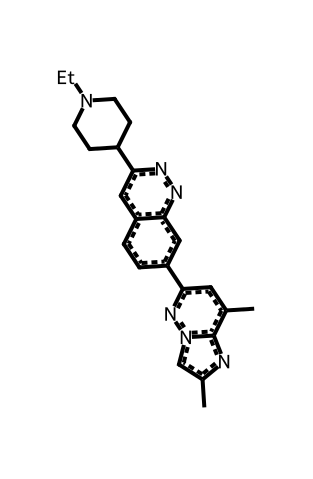 CCN1CCC(c2cc3ccc(-c4cc(C)c5nc(C)cn5n4)cc3nn2)CC1